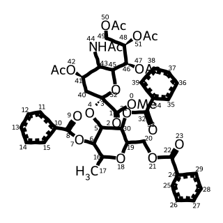 COC(=O)[C@@]1(OC2C(OC(=O)c3ccccc3)C(C)OC(COC(=O)c3ccccc3)C2OC(=O)c2ccccc2)C[C@@H](OC(C)=O)C(NC(C)=O)C([C@H](OC(C)=O)[C@@H](COC(C)=O)OC(C)=O)O1